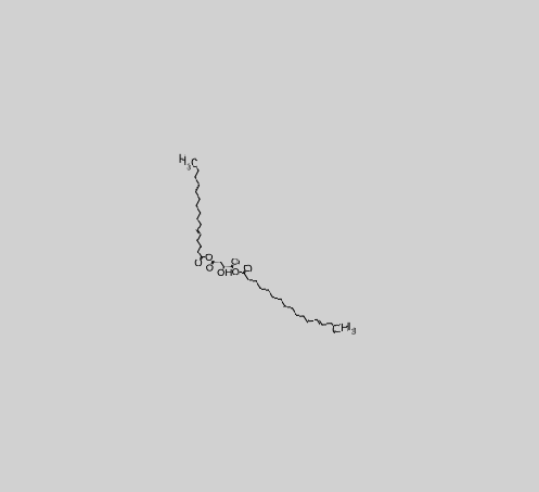 CCCCCCCCCCCCCCCC(=O)OC(=O)CC(O)C(=O)OC(=O)CCCCCCCCCCCCCCC